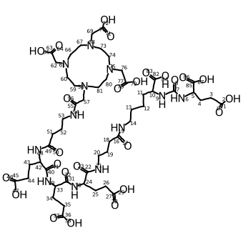 O=C(O)CCC(NC(=O)NC(CCCCNC(=O)CCCNC(=O)C(CCC(=O)O)NC(=O)C(CCC(=O)O)NC(=O)C(CCC(=O)O)NC(=O)CCCNC(=O)CN1CCN(CC(=O)O)CCN(CC(=O)O)CCN(CC(=O)O)CC1)C(=O)O)C(=O)O